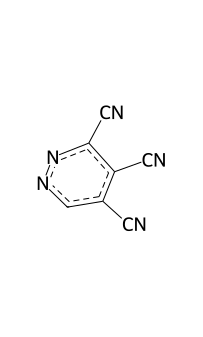 N#Cc1cnnc(C#N)c1C#N